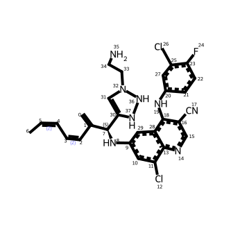 C=C(/C=C\C=C/C)[C@H](Nc1cc(Cl)c2ncc(C#N)c(Nc3ccc(F)c(Cl)c3)c2c1)C1=CN(CCN)NN1